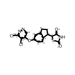 O=C1NC(=O)C(C2CCc3cc(Oc4cnnc(Cl)c4Cl)ccc32)S1